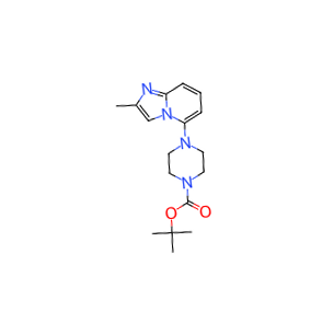 Cc1cn2c(N3CCN(C(=O)OC(C)(C)C)CC3)cccc2n1